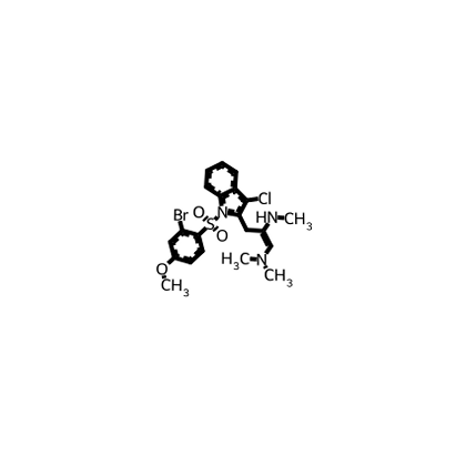 CN/C(=C/N(C)C)Cc1c(Cl)c2ccccc2n1S(=O)(=O)c1ccc(OC)cc1Br